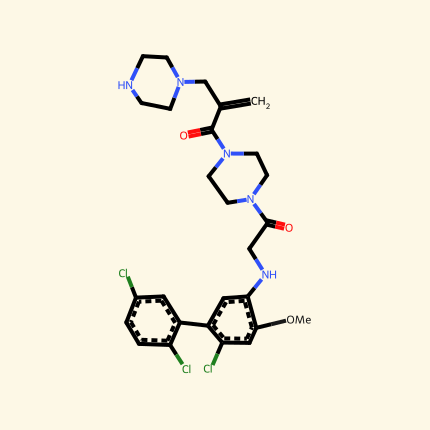 C=C(CN1CCNCC1)C(=O)N1CCN(C(=O)CNc2cc(-c3cc(Cl)ccc3Cl)c(Cl)cc2OC)CC1